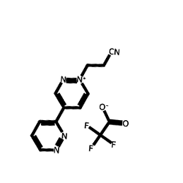 N#CCC[n+]1ccc(-c2cccnn2)cn1.O=C([O-])C(F)(F)F